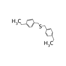 CCc1ccc(CSCc2ccc(CC)cc2)cc1